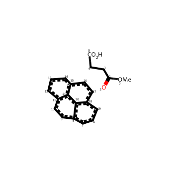 COC(=O)CCC(=O)O.c1cc2ccc3cccc4ccc(c1)c2c34